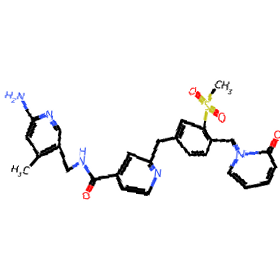 Cc1cc(N)ncc1CNC(=O)c1ccnc(Cc2ccc(Cn3ccccc3=O)c(S(C)(=O)=O)c2)c1